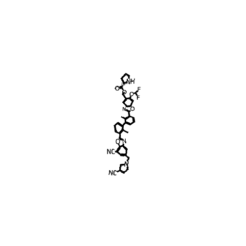 Cc1c(-c2nc3cc(COC(=O)[C@@H]4CCCN4)c(OC(F)F)cc3o2)cccc1-c1cccc(-c2nc3cc(CN4CCC(C#N)C4)cc(C#N)c3o2)c1C